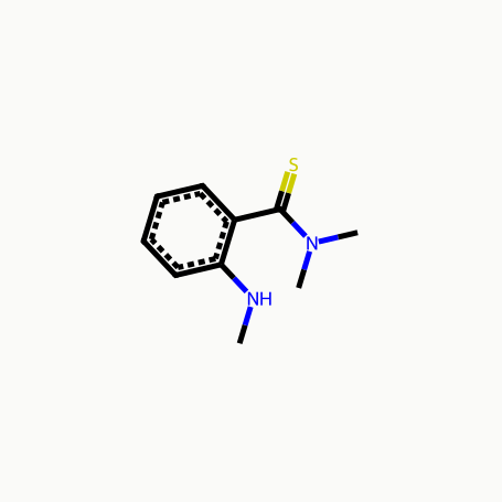 CNc1ccccc1C(=S)N(C)C